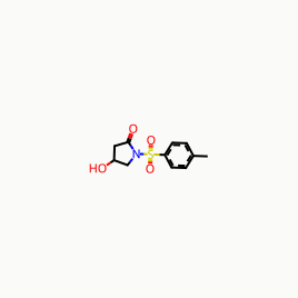 Cc1ccc(S(=O)(=O)N2CC(O)CC2=O)cc1